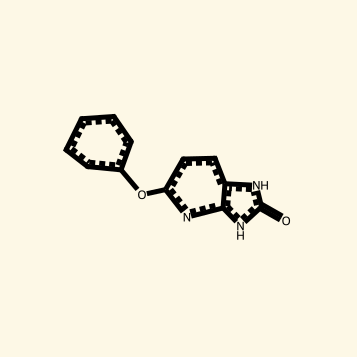 O=c1[nH]c2ccc(Oc3ccccc3)nc2[nH]1